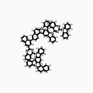 c1ccc2c(-c3ccc4c(ccc5c4c4cc6c7ccccc7n(-c7nc(-n8c9ccccc9c9ccccc98)nc8ccccc78)c6c6c7ccccc7n5c46)c3)cc(-c3nc(-n4c5ccccc5c5cc6c7c8ccccc8ccc7n7c8ccccc8c(c54)c67)c4ccccc4n3)cc2c1